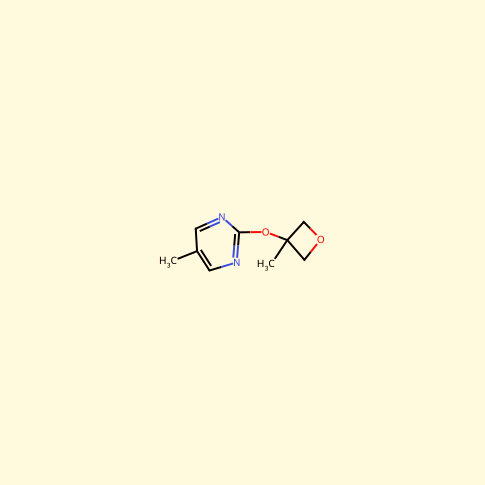 Cc1cnc(OC2(C)COC2)nc1